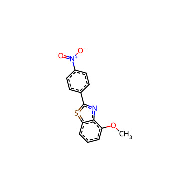 COc1cccc2sc(-c3ccc([N+](=O)[O-])cc3)nc12